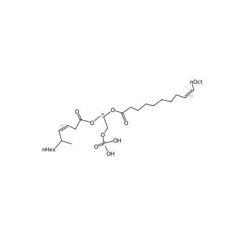 CCCCCCCC/C=C\CCCCCCCC(=O)O[C@@H](COC(=O)C/C=C\C(C)CCCCCC)COP(=O)(O)O